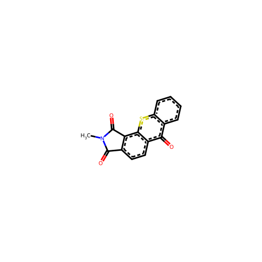 CN1C(=O)c2ccc3c(=O)c4ccccc4sc3c2C1=O